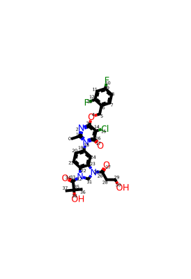 Cc1nc(OCc2ccc(F)cc2F)c(Cl)c(=O)n1-c1ccc2c(c1)N(C(=O)CCO)CN2C(=O)C(C)(C)O